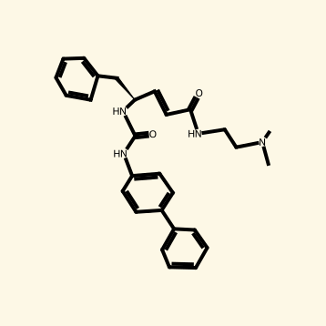 CN(C)CCNC(=O)/C=C/[C@H](Cc1ccccc1)NC(=O)Nc1ccc(-c2ccccc2)cc1